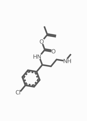 C=C(C)OC(=O)NC(CCNC)c1ccc(Cl)cc1